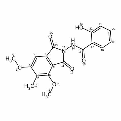 COc1cc2c(c(OC)c1C)C(=O)N(NC(=O)c1ccccc1O)C2=O